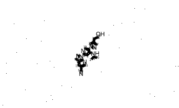 CC(C)Nc1cc(-n2ncc3cc(C#N)cnc32)ncc1-n1cc(CCO)cn1